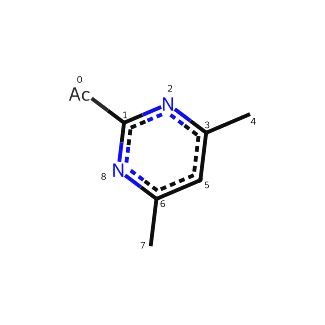 CC(=O)c1nc(C)cc(C)n1